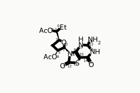 CCC(OC(C)=O)[C@@H]1C[C@@H](OC(C)=O)[C@H](n2c3c(sc2=O)C(=O)NC(N)N3)O1